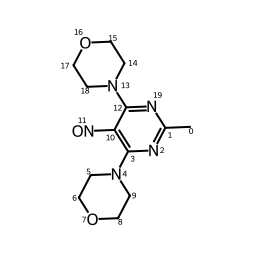 Cc1nc(N2CCOCC2)c(N=O)c(N2CCOCC2)n1